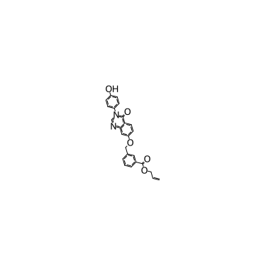 C=CCOC(=O)c1cccc(COc2ccc3c(=O)n(-c4ccc(O)cc4)cnc3c2)c1